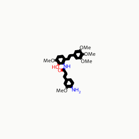 COc1cc(/C=C/C(=O)Nc2c(/C=C/c3cc(OC)c(OC)c(OC)c3)ccc(OC)c2O)ccc1N